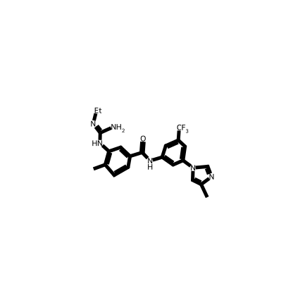 CC/N=C(\N)Nc1cc(C(=O)Nc2cc(-n3cnc(C)c3)cc(C(F)(F)F)c2)ccc1C